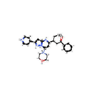 O=C(CC(C[N+](=O)[O-])c1cc(N2CCOCC2)n2nc(-c3ccncc3)cc2n1)c1ccccc1